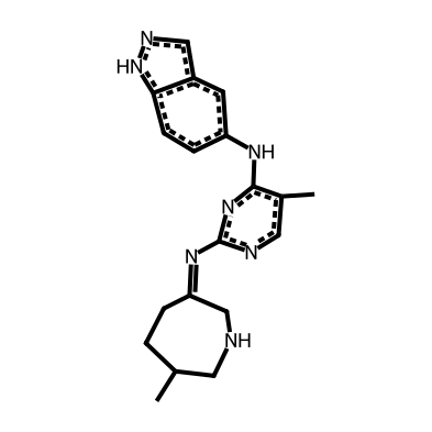 Cc1cnc(/N=C2/CCC(C)CNC2)nc1Nc1ccc2[nH]ncc2c1